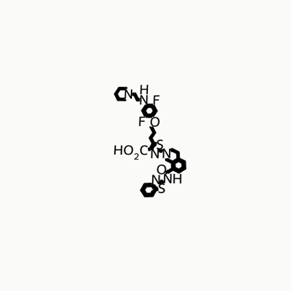 O=C(Nc1nc2ccccc2s1)c1cccc2c1CN(c1nc(C(=O)O)c(CCCOc3cc(F)c(NCCN4CCCCC4)cc3F)s1)CC2